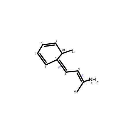 C/C(N)=C\C=C1\C=CC=CC1C